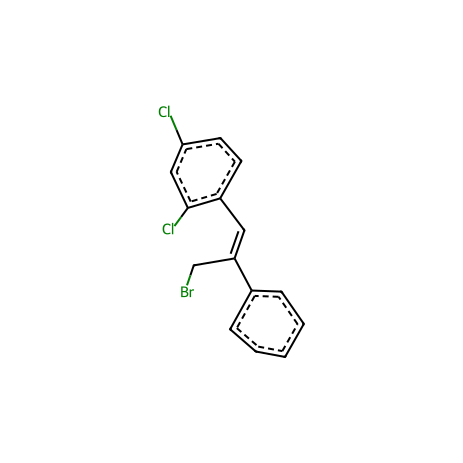 Clc1ccc(C=C(CBr)c2ccccc2)c(Cl)c1